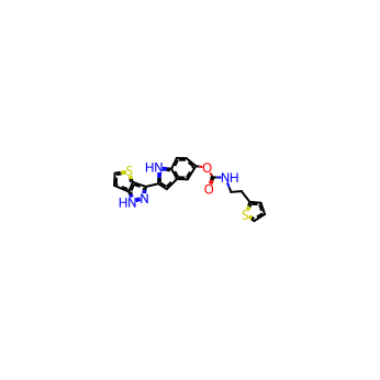 O=C(NCCc1cccs1)Oc1ccc2[nH]c(-c3n[nH]c4ccsc34)cc2c1